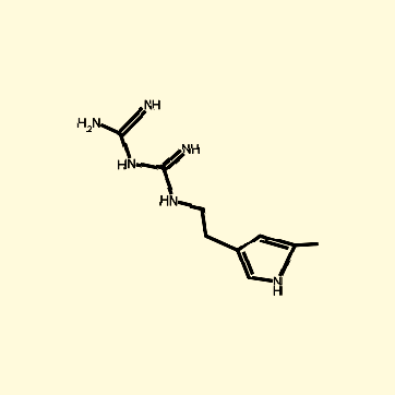 Cc1cc(CCNC(=N)NC(=N)N)c[nH]1